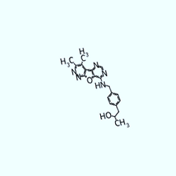 Cc1nnc2oc3c(NCc4ccc(CC(C)O)cc4)ncnc3c2c1C